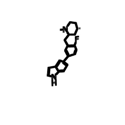 CN1CC[CH]CC1Cc1cc(-c2ccc3[nH]ccc3c2)ccc1F